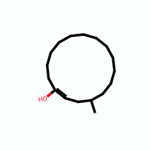 CC1C/C=C(/O)CCCCCCCCCCCC1